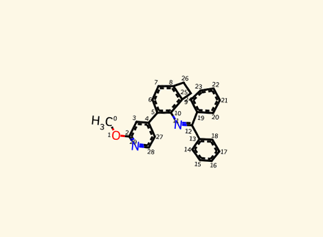 COc1cc(-c2ccc3c(c2N=C(c2ccccc2)c2ccccc2)CC3)ccn1